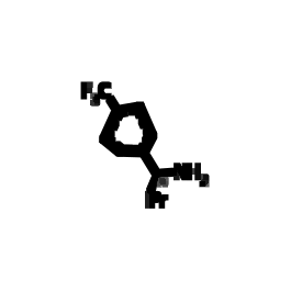 CC(C)[C@H](N)c1ccc(C(F)(F)F)cc1